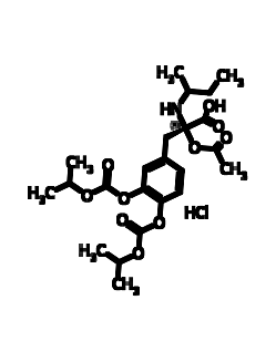 CCC(C)N[C@@](Cc1ccc(OC(=O)OC(C)C)c(OC(=O)OC(C)C)c1)(OC(C)=O)C(=O)O.Cl